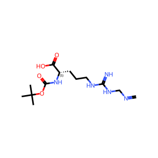 C=NCNC(=N)NCCC[C@H](NC(=O)OC(C)(C)C)C(=O)O